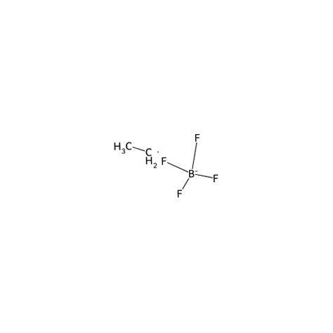 F[B-](F)(F)F.[CH2]C